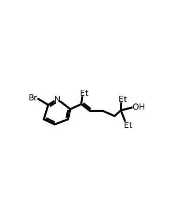 CC/C(=C\CCC(O)(CC)CC)c1cccc(Br)n1